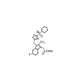 COC(=O)Cn1c(C)c(Cc2coc(S(=O)(=O)c3ccccc3)n2)c2cc(F)ccc21